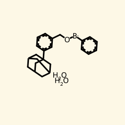 O.O.[B](OCc1cccc(C23CC4CC(CC(C4)C2)C3)c1)c1ccccc1